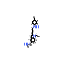 CCn1c(C#CCNc2ccc(C)cc2)cc2cc(CNC)ccc21